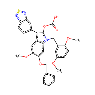 COc1ccc(OC)c(Cn2c(OC(=O)O)c(-c3ccc4nsnc4c3)c3cc(OC)c(OCc4ccccc4)cc32)c1